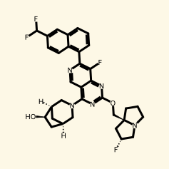 O[C@@H]1C[C@H]2C[C@@H]1CN(c1nc(OC[C@@]34CCCN3C[C@H](F)C4)nc3c(F)c(-c4cccc5cc(C(F)F)ccc45)ncc13)C2